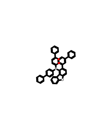 c1ccc(-c2ccc(N(c3ccc(-c4ccccc4)cc3)c3c(-c4cccc(-c5ccccc5)c4)ccc4oc5ccccc5c34)cc2)cc1